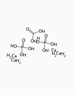 O=C(O)O.O=P(O)(O)O.O=P(O)(O)O.[CaH2].[CaH2].[CaH2].[CaH2]